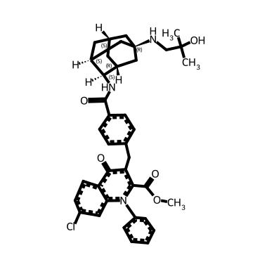 COC(=O)c1c(Cc2ccc(C(=O)N[C@@H]3[C@@H]4C[C@@H]5C[C@H]3C[C@](NCC(C)(C)O)(C5)C4)cc2)c(=O)c2ccc(Cl)cc2n1-c1ccccc1